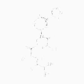 CC(C)C(N)C(=O)NC(C(=O)CCN(C(=O)C(Cl)Cl)c1ccnc(-c2ccno2)c1)C(C)C